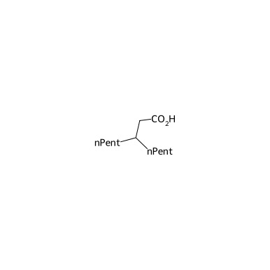 CCCCCC(CCCCC)CC(=O)O